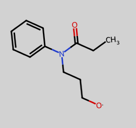 CCC(=O)N(CCC[O])c1ccccc1